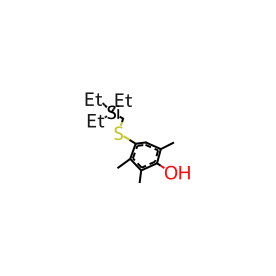 CC[Si](CC)(CC)CSc1cc(C)c(O)c(C)c1C